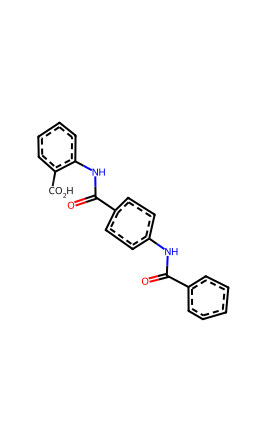 O=C(Nc1ccc(C(=O)Nc2ccccc2C(=O)O)cc1)c1ccccc1